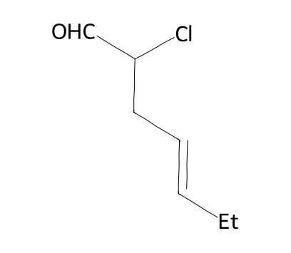 CCC=CCC(Cl)C=O